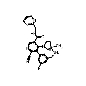 C[C@]1(N)CCN(c2c(C(=O)NCc3ncccn3)cnc(C#N)c2-c2cc(F)cc(F)c2)C1